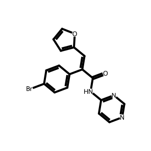 O=C(Nc1ccncn1)C(=Cc1ccco1)c1ccc(Br)cc1